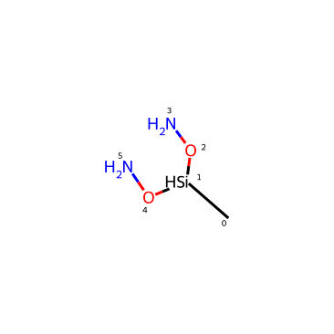 C[SiH](ON)ON